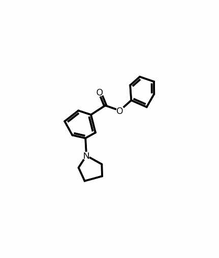 O=C(Oc1ccccc1)c1cccc(N2CCCC2)c1